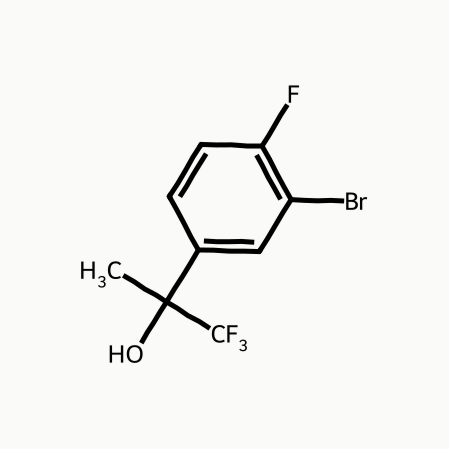 CC(O)(c1ccc(F)c(Br)c1)C(F)(F)F